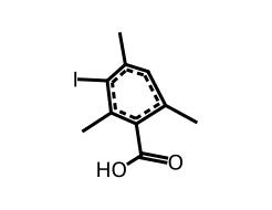 Cc1cc(C)c(C(=O)O)c(C)c1I